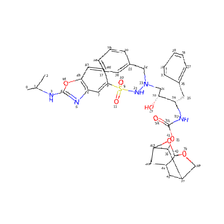 CC(C)Nc1nc2cc(S(=O)(=O)NN(Cc3ccccc3)C[C@@H](O)[C@H](Cc3ccccc3)NC(=O)OC3C4COC5OC3CC5C4)ccc2o1